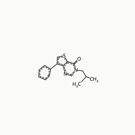 CC(C)Cn1cnc2c(-c3ccccc3)csc2c1=O